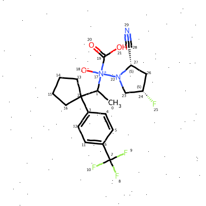 CC(C1(c2ccc(C(F)(F)F)cc2)CCCC1)[N+]([O-])(C(=O)O)N1C[C@@H](F)C[C@H]1C#N